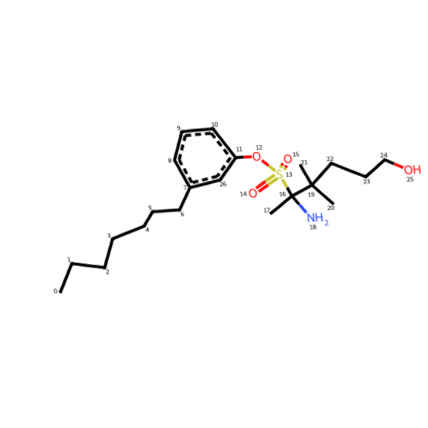 CCCCCCCc1cccc(OS(=O)(=O)C(C)(N)C(C)(C)CCCO)c1